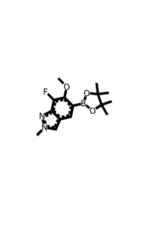 COc1c(B2OC(C)(C)C(C)(C)O2)cc2cn(C)nc2c1F